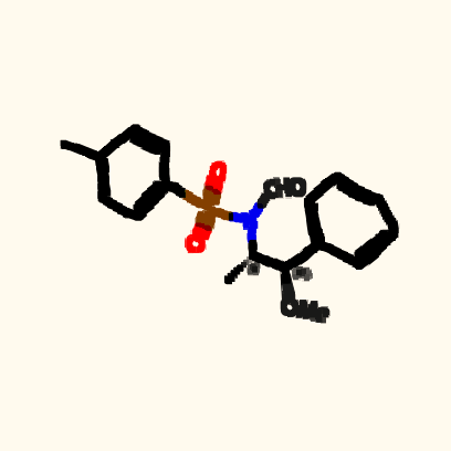 CO[C@H](c1ccccc1)[C@H](C)N(C=O)S(=O)(=O)c1ccc(C)cc1